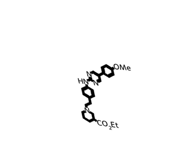 CCOC(=O)C1CCCN(CCc2ccc(Nc3ncc(-c4ccc(OC)cc4)cn3)cc2)C1